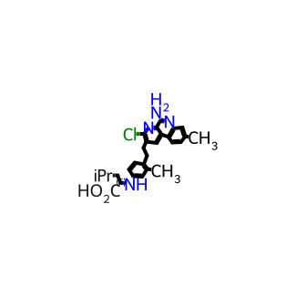 Cc1ccc2c(c1)nc(N)c1nc(Cl)c(CCc3ccc(N[C@@H](CC(C)C)C(=O)O)cc3C)cc12